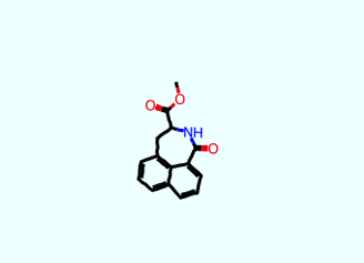 COC(=O)C1Cc2cccc3cccc(c23)C(=O)N1